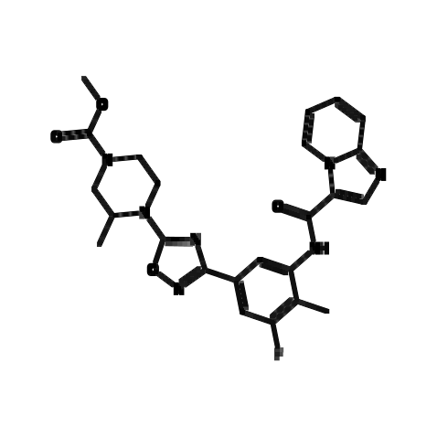 COC(=O)N1CCN(c2nc(-c3cc(F)c(C)c(NC(=O)c4cnc5ccccn45)c3)no2)C(C)C1